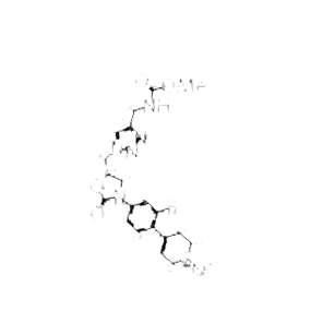 COC(=O)NCc1cn(C[C@H]2CN(c3ccc(C4=CC[S@+]([O-])CC4)c(F)c3)C(=O)O2)nn1